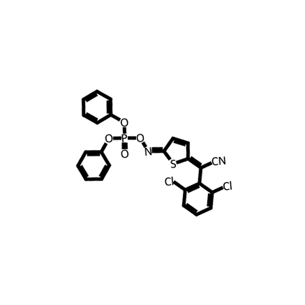 N#C/C(=C1C=C/C(=N\OP(=O)(Oc2ccccc2)Oc2ccccc2)S\1)c1c(Cl)cccc1Cl